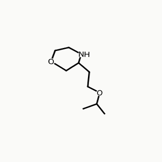 CC(C)OCCC1COCCN1